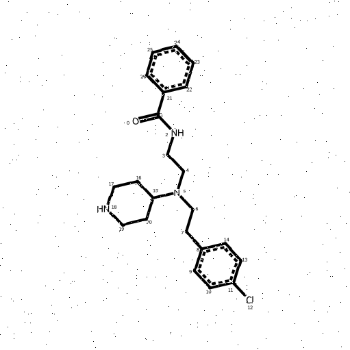 O=C(NCCN(CCc1ccc(Cl)cc1)C1CCNCC1)c1ccccc1